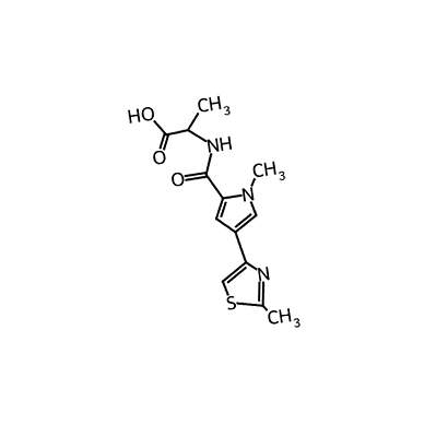 Cc1nc(-c2cc(C(=O)NC(C)C(=O)O)n(C)c2)cs1